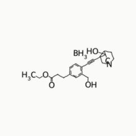 B.CCOC(=O)CCc1ccc(C#CC2(O)CN3CCC2CC3)c(CO)c1